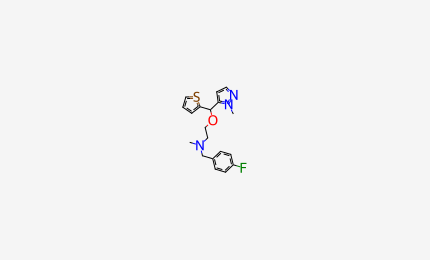 CN(CCOC(c1cccs1)c1ccnn1C)Cc1ccc(F)cc1